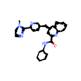 Cn1ccnc1-c1ccc(Cc2cc(C(=O)NC3CCCCC3)nc3ccccc23)cn1